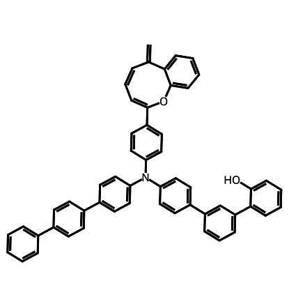 C=C1/C=C\C=C(\c2ccc(N(c3ccc(-c4ccc(-c5ccccc5)cc4)cc3)c3ccc(-c4cccc(-c5ccccc5O)c4)cc3)cc2)Oc2ccccc21